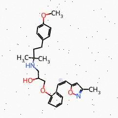 COc1ccc(CCC(C)(C)NCC(O)COc2ccccc2/C=C\c2cc(C)no2)cc1